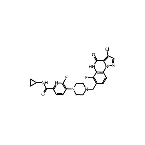 O=C(NC1CC1)c1ccc(N2CCN(Cc3ccc4c([nH]c(=O)c5c(Cl)cnn54)c3F)CC2)c(F)n1